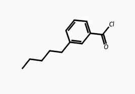 CCCCCc1cccc(C(=O)Cl)c1